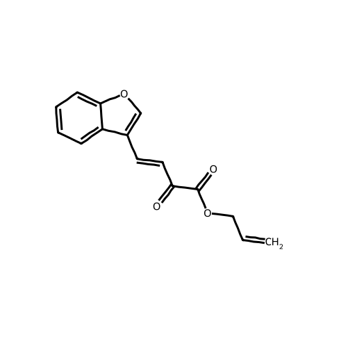 C=CCOC(=O)C(=O)C=Cc1coc2ccccc12